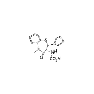 CN1C(=O)[C@@H](NC(=O)O)[C@H](c2ccccc2)Sc2ccccc21